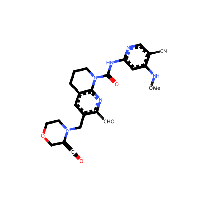 CONc1cc(NC(=O)N2CCCc3cc(CN4CCOCC4=C=O)c(C=O)nc32)ncc1C#N